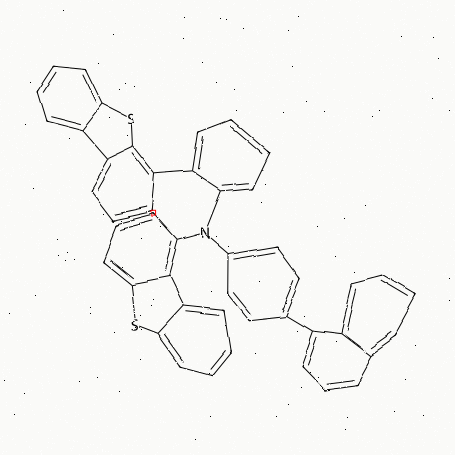 c1ccc(N(c2ccc(-c3cccc4ccccc34)cc2)c2cccc3sc4ccccc4c23)c(-c2cccc3c2sc2ccccc23)c1